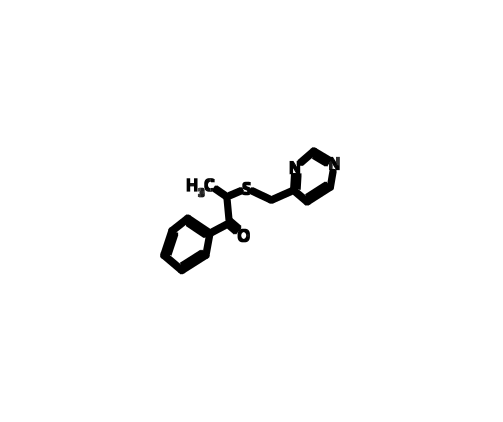 CC(SCc1ccncn1)C(=O)c1ccccc1